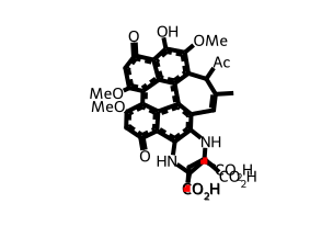 COc1c(O)c2c(=O)cc(OC)c3c4c(OC)cc(=O)c5c(NC(CC(=O)O)C(=O)O)c(NC(CC(=O)O)C(=O)O)c6c(c(c1C(C(C)=O)C(C)=C6)c23)c54